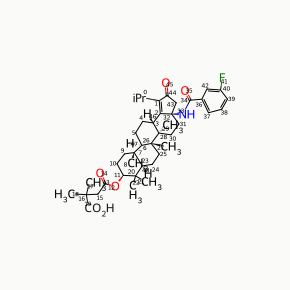 CC(C)C1=C2[C@H]3CC[C@@H]4[C@@]5(C)CC[C@H](OC(=O)CC(C)(C)C(=O)O)C(C)(C)[C@@H]5CC[C@@]4(C)[C@]3(C)CC[C@@]2(NC(=O)c2cccc(F)c2)CC1=O